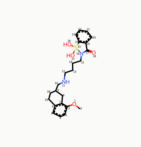 COc1cccc2c1CC(CNCCCCN1C(=O)c3ccccc3S1(O)O)CC2